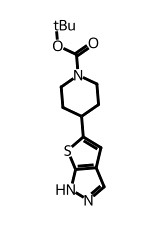 CC(C)(C)OC(=O)N1CCC(c2cc3cn[nH]c3s2)CC1